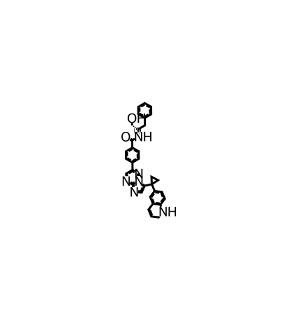 O=C(N[C@H](CO)Cc1ccccc1)c1ccc(-c2cnc3ncc(C4(c5ccc6c(c5)C=CCN6)CC4)n3n2)cc1